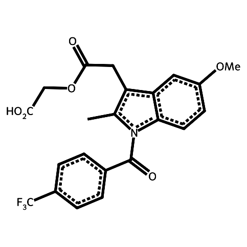 COc1ccc2c(c1)c(CC(=O)OCC(=O)O)c(C)n2C(=O)c1ccc(C(F)(F)F)cc1